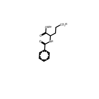 COC(=O)C(CCC(=O)O)NC(=O)c1ccccc1